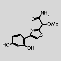 COC(C(N)=O)c1nc(-c2ccc(O)cc2O)cs1